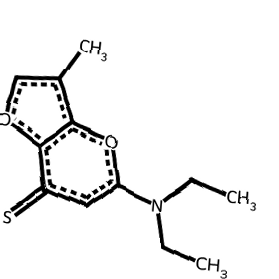 CCN(CC)c1cc(=S)c2occ(C)c2o1